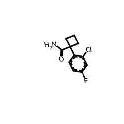 NC(=O)C1(c2ccc(F)cc2Cl)CCC1